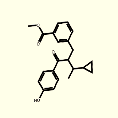 COC(=O)c1cccc(CC(C(=O)c2ccc(O)cc2)C(C)C2CC2)c1